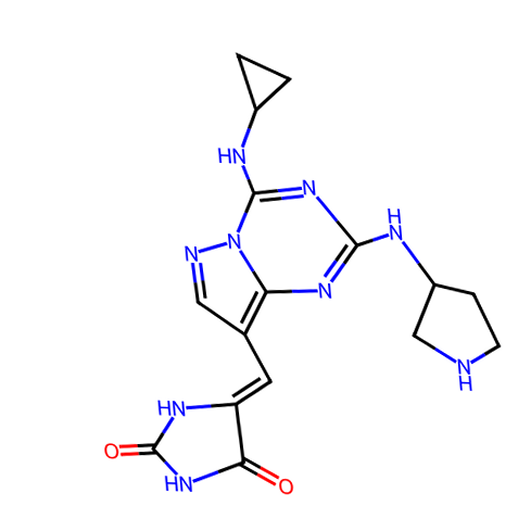 O=C1NC(=O)/C(=C/c2cnn3c(NC4CC4)nc(NC4CCNC4)nc23)N1